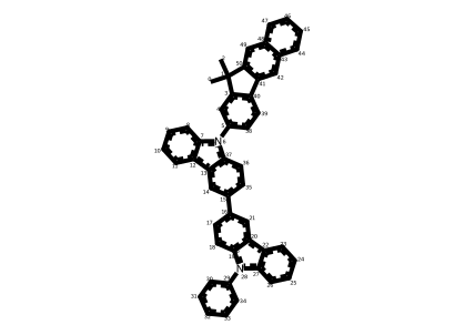 CC1(C)c2cc(-n3c4ccccc4c4cc(-c5ccc6c(c5)c5ccccc5n6-c5ccccc5)ccc43)ccc2-c2cc3ccccc3cc21